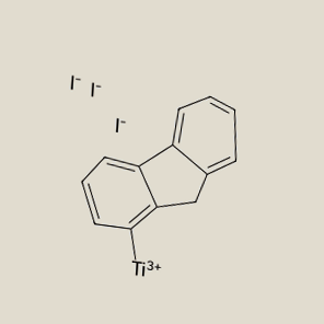 [I-].[I-].[I-].[Ti+3][c]1cccc2c1Cc1ccccc1-2